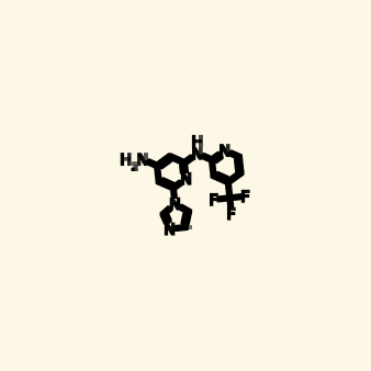 Nc1cc(Nc2cc(C(F)(F)F)ccn2)nc(-n2c[c]nc2)c1